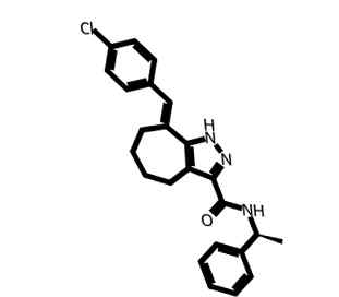 C[C@H](NC(=O)c1n[nH]c2c1CCCC/C2=C\c1ccc(Cl)cc1)c1ccccc1